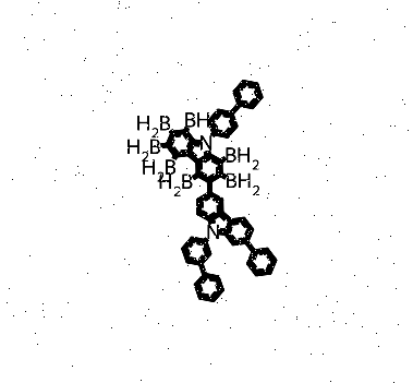 Bc1c(B)c(B)c2c(c1B)c1c(B)c(-c3ccc4c(c3)c3ccc(-c5ccccc5)cc3n4-c3cccc(-c4ccccc4)c3)c(B)c(B)c1n2-c1ccc(-c2ccccc2)cc1